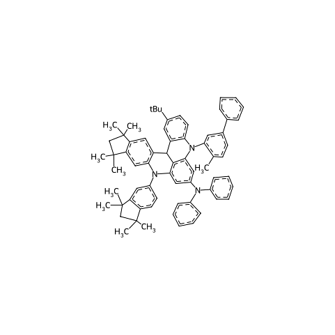 Cc1ccc(-c2ccccc2)cc1N1c2ccc(C(C)(C)C)cc2C2c3cc4c(cc3N(c3ccc5c(c3)C(C)(C)CC5(C)C)c3cc(N(c5ccccc5)c5ccccc5)cc1c32)C(C)(C)CC4(C)C